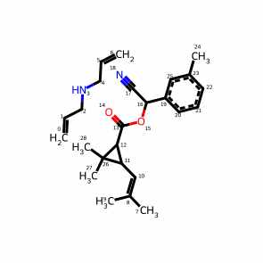 C=CCNCC=C.CC(C)=CC1C(C(=O)OC(C#N)c2cccc(C)c2)C1(C)C